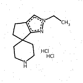 CCn1cc2c(n1)C1(CCNCC1)CC2.Cl.Cl